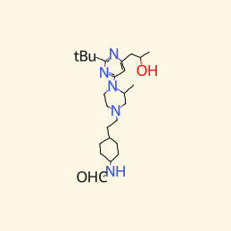 CC(O)Cc1cc(N2CCN(CCC3CCC(NC=O)CC3)CC2C)nc(C(C)(C)C)n1